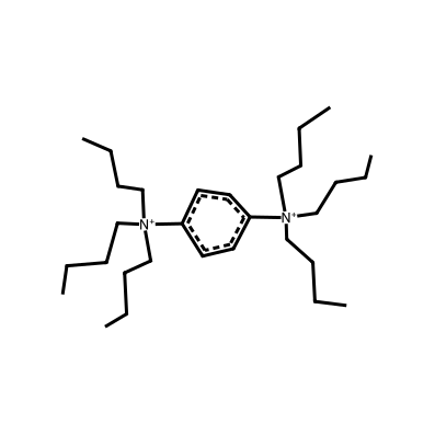 CCCC[N+](CCCC)(CCCC)c1ccc([N+](CCCC)(CCCC)CCCC)cc1